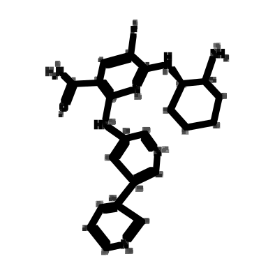 NC(=O)c1cc(F)c(N[C@@H]2CCCCC2N)nc1Nc1cncc(-c2cccnc2)c1